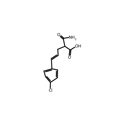 NC(=O)C(C/C=C/c1ccc(Cl)cc1)C(=O)O